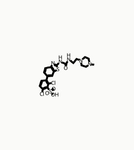 CN1CCN(CCNC(=O)Nc2nc3ccc(-c4ccc(Cl)c(S(=O)(=O)O)c4Cl)cc3s2)CC1